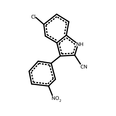 N#Cc1[nH]c2ccc(Cl)cc2c1-c1cccc([N+](=O)[O-])c1